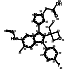 C=NNc1cc2c(-c3cnn(CC(=O)O)c3)c(C3(CC)COC3)n(-c3ccc(F)cc3)c2cc1C